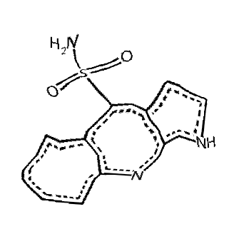 NS(=O)(=O)c1c2ccccc2nc2[nH]ccc12